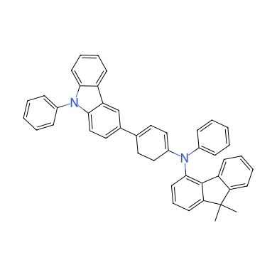 CC1(C)c2ccccc2-c2c(N(C3=CC=C(c4ccc5c(c4)c4ccccc4n5-c4ccccc4)CC3)c3ccccc3)cccc21